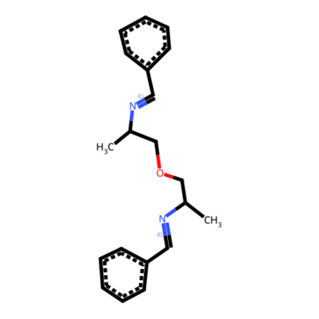 CC(COCC(C)/N=C/c1ccccc1)/N=C/c1ccccc1